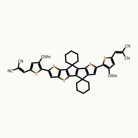 COc1cc(C=C(C#N)C#N)sc1-c1cc2c(s1)C1=C(c3sc4cc(-c5sc(C=C(C#N)C#N)cc5OC)sc4c3C13CCCCC3)C21CCCCC1